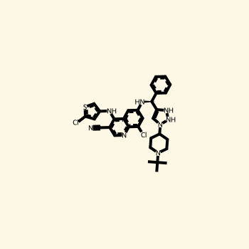 CC(C)(C)N1CCC(N2C=C([C@@H](Nc3cc(Cl)c4ncc(C#N)c(Nc5csc(Cl)c5)c4c3)c3ccccc3)NN2)CC1